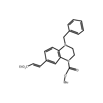 CCOC(=O)C=Cc1ccc2c(c1)N(C(=O)OC(C)(C)C)CCN2Cc1ccccc1